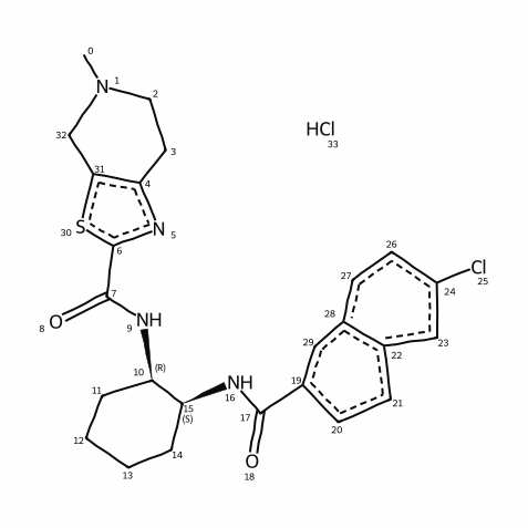 CN1CCc2nc(C(=O)N[C@@H]3CCCC[C@@H]3NC(=O)c3ccc4cc(Cl)ccc4c3)sc2C1.Cl